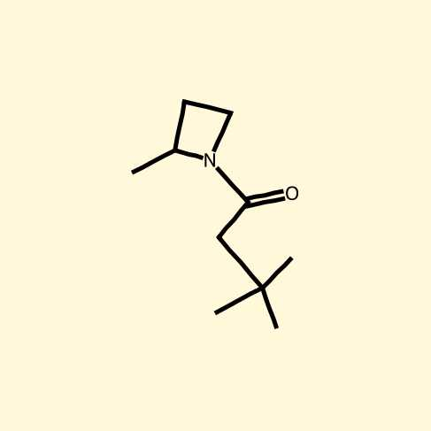 CC1CCN1C(=O)CC(C)(C)C